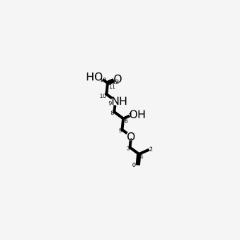 C=C(C)COCC(O)CNCC(=O)O